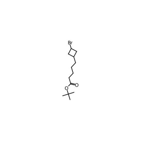 CC(C)(C)OC(=O)CCCCC1CC(Br)C1